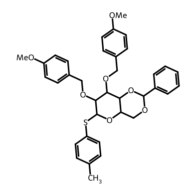 COc1ccc(COC2C(Sc3ccc(C)cc3)OC3COC(c4ccccc4)OC3C2OCc2ccc(OC)cc2)cc1